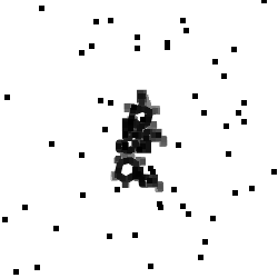 CN1CCC[C@H](C(=O)NC(C)(C)c2ccc(F)cc2)C1